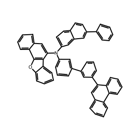 c1ccc(-c2ccc3ccc(N(c4cccc(-c5cccc(-c6cc7ccccc7c7ccccc67)c5)c4)c4cc5ccccc5c5oc6ccccc6c45)cc3c2)cc1